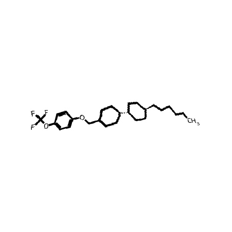 CCCCCC[C@H]1CC[C@H](C2CCC(COc3ccc(OC(F)(F)F)cc3)CC2)CC1